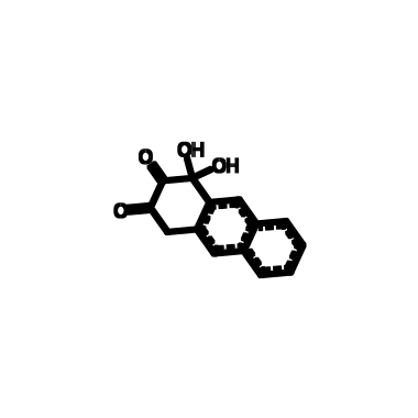 O=C1Cc2cc3ccccc3cc2C(O)(O)C1=O